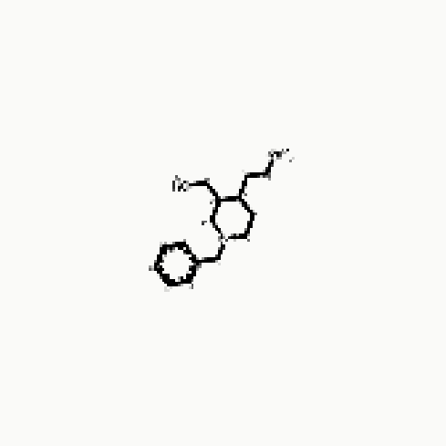 NCCC1CCN(Cc2ccccc2)CC1CO